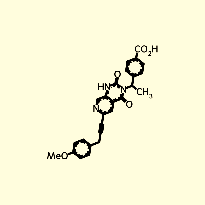 COc1ccc(CC#Cc2cc3c(=O)n(C(C)c4ccc(C(=O)O)cc4)c(=O)[nH]c3cn2)cc1